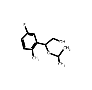 Cc1ccc(F)cc1C(CO)OC(C)C